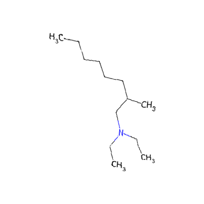 CCCCCCC(C)CN(CC)CC